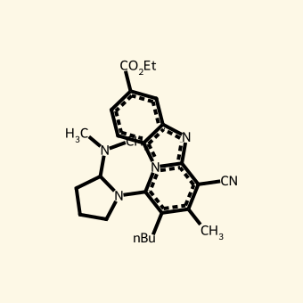 CCCCc1c(C)c(C#N)c2nc3cc(C(=O)OCC)ccc3n2c1N1CCCC1N(C)C